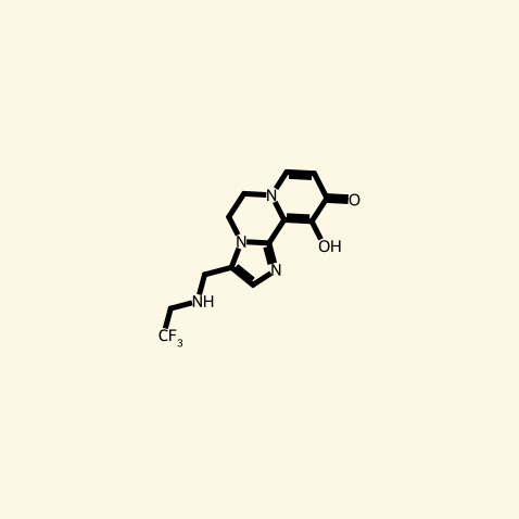 O=c1ccn2c(c1O)-c1ncc(CNCC(F)(F)F)n1CC2